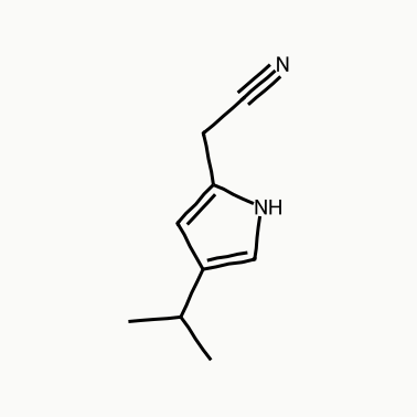 CC(C)c1c[nH]c(CC#N)c1